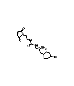 N[C@H](CNC(=O)NCCN1C(=O)C=CC1=O)CC1CCC(O)CC1